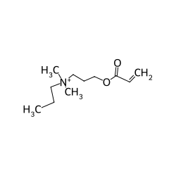 C=CC(=O)OCCC[N+](C)(C)CCC